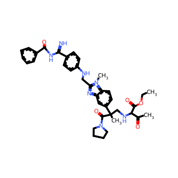 CCOC(=O)C(NCC(C)(C(=O)N1CCCC1)c1ccc2c(c1)nc(CNc1ccc(C(=N)NC(=O)c3ccccc3)cc1)n2C)C(C)=O